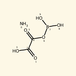 N.O=C(O)C(=O)OB(O)O